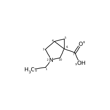 CCN1CC2CC2(C(=O)O)C1